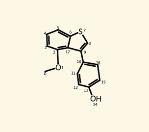 COc1cccc2scc(-c3ccc(O)cc3)c12